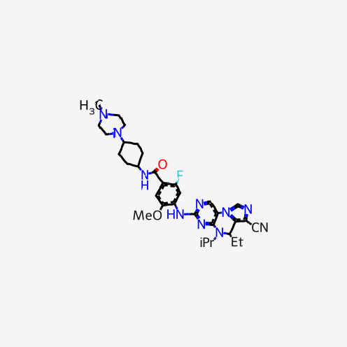 CCC1c2c(C#N)ncn2-c2cnc(Nc3cc(F)c(C(=O)NC4CCC(N5CCN(C)CC5)CC4)cc3OC)nc2N1C(C)C